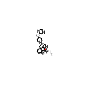 NC(=O)C1C(F)=CC=CC1(CCN1CCC(Oc2cnccn2)CC1)c1scnc1C(F)F